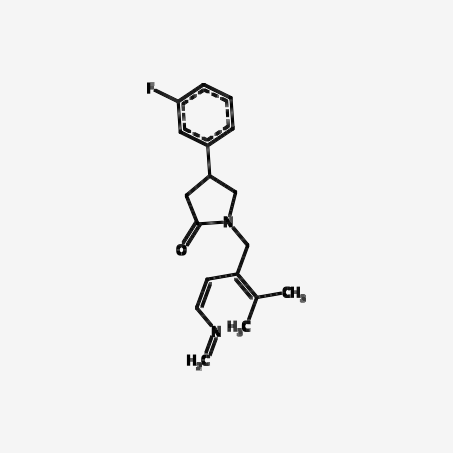 C=N/C=C\C(CN1CC(c2cccc(F)c2)CC1=O)=C(C)C